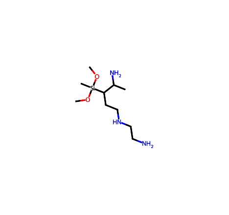 CO[Si](C)(OC)C(CCNCCN)C(C)N